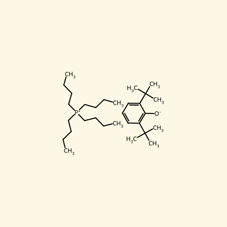 CC(C)(C)c1cccc(C(C)(C)C)c1[O-].CCCC[P+](CCCC)(CCCC)CCCC